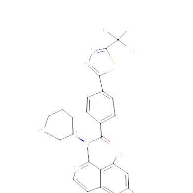 [2H]C([2H])([2H])c1nnc(-c2ccc(C(=O)N(c3nccc4cc(C)cc(C)c34)[C@@H]3CCCNC3)cc2)s1